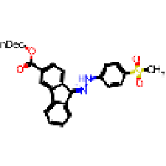 CCCCCCCCCCOC(=O)c1ccc2c(c1)-c1ccccc1/C2=N/Nc1ccc(S(C)(=O)=O)cc1